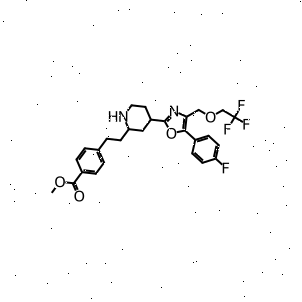 COC(=O)c1ccc(CCC2CC(c3nc(COCC(F)(F)F)c(-c4ccc(F)cc4)o3)CCN2)cc1